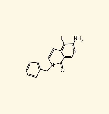 Nc1ncc2c(=O)n(Cc3ccccc3)ccc2c1I